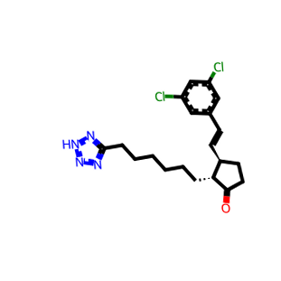 O=C1CC[C@H](C=Cc2cc(Cl)cc(Cl)c2)[C@H]1CCCCCCc1nn[nH]n1